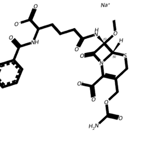 CO[C@@]1(NC(=O)CCCC(NC(=O)c2ccccc2)C(=O)[O-])C(=O)N2C(C(=O)[O-])=C(COC(N)=O)CS[C@H]21.[Na+].[Na+]